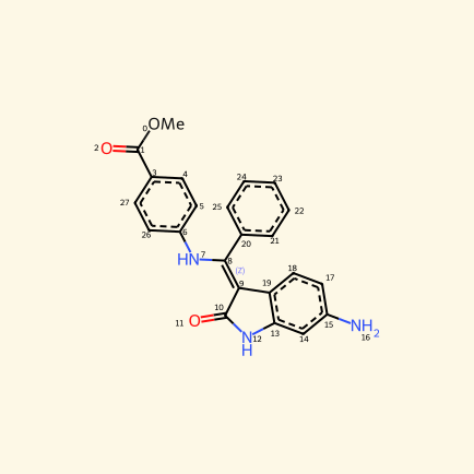 COC(=O)c1ccc(N/C(=C2\C(=O)Nc3cc(N)ccc32)c2ccccc2)cc1